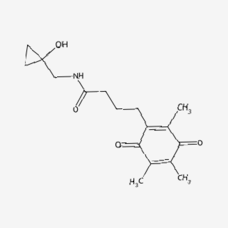 CC1=C(C)C(=O)C(CCCC(=O)NCC2(O)CC2)=C(C)C1=O